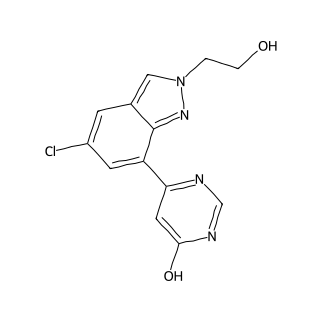 OCCn1cc2cc(Cl)cc(-c3cc(O)ncn3)c2n1